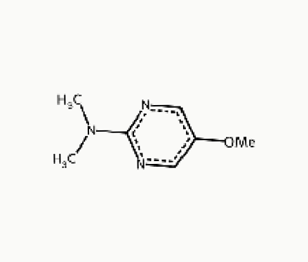 COc1cnc(N(C)C)nc1